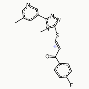 Cc1cncc(-c2nnc(S/C=C/C(=O)c3ccc(F)cc3)n2C)c1